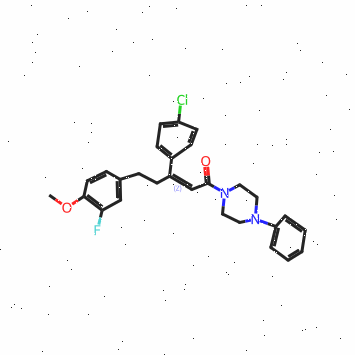 COc1ccc(CC/C(=C/C(=O)N2CCN(c3ccccc3)CC2)c2ccc(Cl)cc2)cc1F